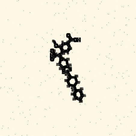 COc1cc(C(=O)O)ccc1N(N1Cc2nc(C3CCC(c4ccccc4)CC3)sc2C1)[SH](=O)=O